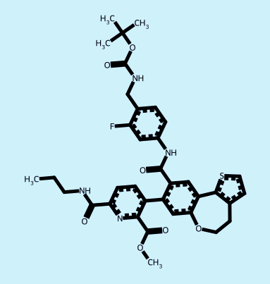 CCCNC(=O)c1ccc(-c2cc3c(cc2C(=O)Nc2ccc(CNC(=O)OC(C)(C)C)c(F)c2)-c2sccc2CCO3)c(C(=O)OC)n1